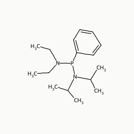 CCN(CC)P(c1ccccc1)N(C(C)C)C(C)C